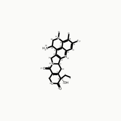 CC[C@@]1(O)C(=O)OCC2=C1CC1c3nc4cc(F)c(C)c5c4c(c3CN1C2=O)C(N)CN5C